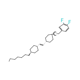 CCCCCCC[C@H]1CC[C@H](C=C[C@H]2CC[C@H](CCc3ccc(F)c(F)c3)CC2)CC1